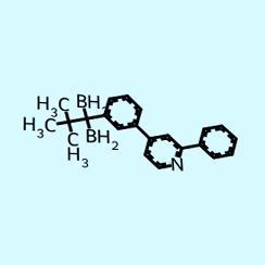 BC(B)(c1cccc(-c2ccnc(-c3ccccc3)c2)c1)C(C)(C)C